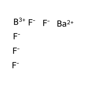 [B+3].[Ba+2].[F-].[F-].[F-].[F-].[F-]